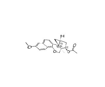 COc1ccc2c3c(ccc2c1)[C@]12C[C@H]1C[C@@H](OC(C)=O)[C@@]2(C)CO3